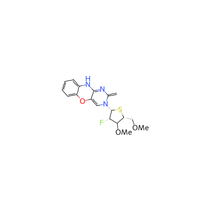 C=C1N=C2Nc3ccccc3OC2=CN1[C@@H]1S[C@H](COC)C(OC)[C@@H]1F